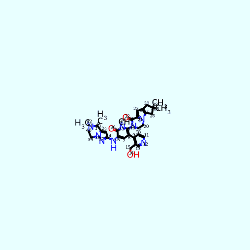 C[C@H]1c2cc(Nc3cc(-c4ccncc4CO)c(N4CCn5c(cc6c5CC(C)(C)C6)C4=O)n(C)c3=O)nn2CCN1C